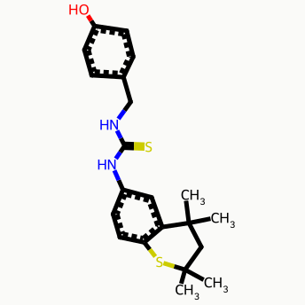 CC1(C)CC(C)(C)c2cc(NC(=S)NCc3ccc(O)cc3)ccc2S1